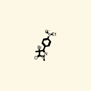 CC[S+]([O-])c1ccc(C2=NN(C)C(=O)C2(C)Br)cc1